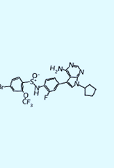 Nc1ncnc2c1c(-c1ccc(N[S+]([O-])c3ccc(Br)cc3OC(F)(F)F)c(F)c1)cn2C1CCCC1